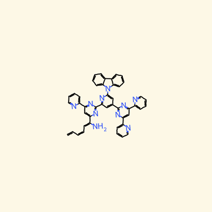 C=C/C=C\C=C(/N)c1cc(-c2ccccn2)nc(-c2cc(-c3nc(-c4ccccn4)cc(-c4ccccn4)n3)cc(-n3c4ccccc4c4ccccc43)n2)n1